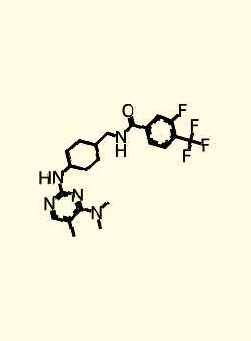 Cc1cnc(NC2CCC(CNC(=O)c3ccc(C(F)(F)F)c(F)c3)CC2)nc1N(C)C